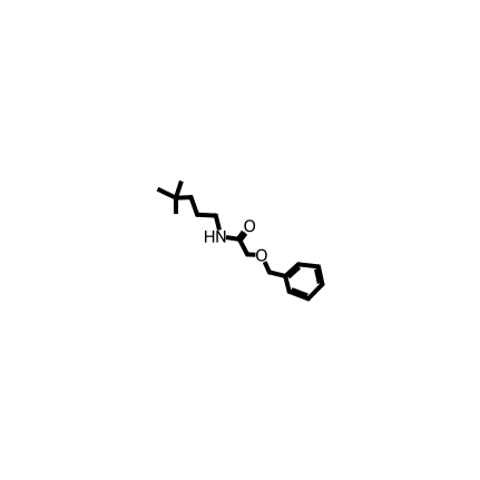 CC(C)(C)CCCNC(=O)COCc1ccccc1